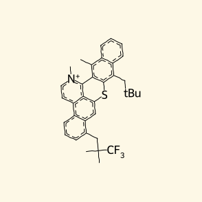 Cc1c2c(c(CC(C)(C)C)c3ccccc13)Sc1cc3c(CC(C)(C)C(F)(F)F)cccc3c3cc[n+](C)c-2c13